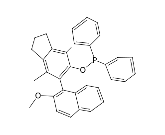 COc1ccc2ccccc2c1-c1c(C)c2c(c(C)c1OP(c1ccccc1)c1ccccc1)CCC2